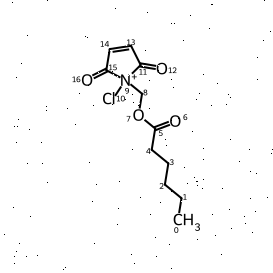 CCCCCC(=O)OC[N+]1(Cl)C(=O)C=CC1=O